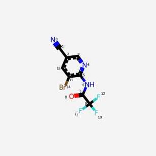 N#Cc1cnc(NC(=O)C(F)(F)F)c(Br)c1